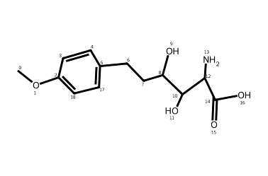 COc1ccc(CCC(O)C(O)C(N)C(=O)O)cc1